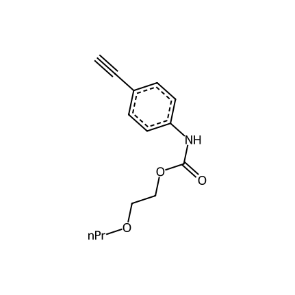 C#Cc1ccc(NC(=O)OCCOCCC)cc1